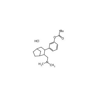 CN(C)CC1C2CCC(C2)CC1c1cccc(OC(=O)C(C)(C)C)c1.Cl